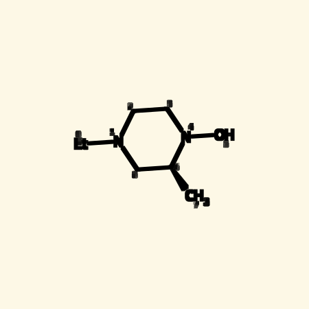 CCN1CCN(O)[C@@H](C)C1